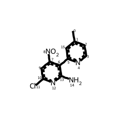 Cc1ccnc(-c2c([N+](=O)[O-])cc(Cl)nc2N)c1